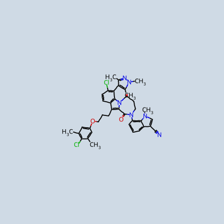 Cc1cc(OCCCc2c3n(c4c(-c5c(C)nn(C)c5C)c(Cl)ccc24)CCCN(c2cccc4c(C#N)cn(C)c24)C3=O)cc(C)c1Cl